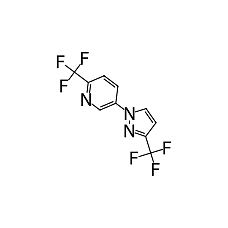 FC(F)(F)c1ccc(-n2ccc(C(F)(F)F)n2)cn1